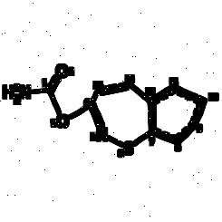 NC(=O)OC1=NSc2ccccc2C=C1